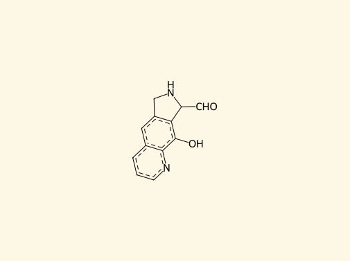 O=CC1NCc2cc3cccnc3c(O)c21